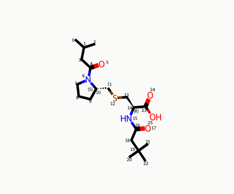 CC(C)CC(=O)N1CCC[C@H]1CSC[C@H](NC(=O)CC(C)(C)C)C(=O)O